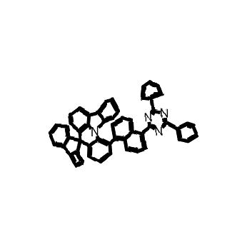 c1ccc(-c2nc(-c3ccccc3)nc(-c3cccc4c(-c5cccc6c5-n5c7ccccc7c7cccc(c75)C65c6ccccc6-c6ccccc65)cccc34)n2)cc1